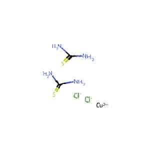 NC(N)=S.NC(N)=S.[Cl-].[Cl-].[Cu+2]